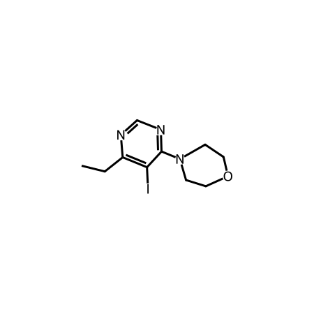 CCc1ncnc(N2CCOCC2)c1I